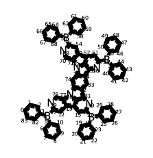 c1ccc(B(c2ccccc2)c2cc3c4cc(B(c5ccccc5)c5ccccc5)nc5c6cc7c8nc(B(c9ccccc9)c9ccccc9)cc9c%10cc(B(c%11ccccc%11)c%11ccccc%11)ncc%10n(c7cc6n(c3cn2)c45)c98)cc1